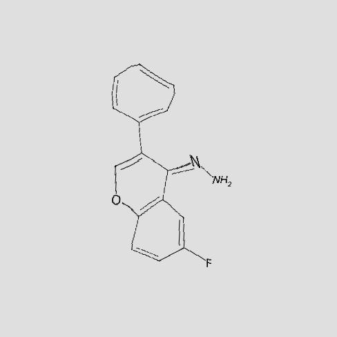 NN=c1c(-c2ccccc2)coc2ccc(F)cc12